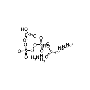 N.N.O=S(=O)([O-])OOS(=O)(=O)[O-].O=S([O-])O.[Na+].[Na+].[Na+].[O-][Br+2]([O-])O